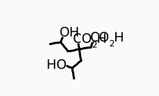 CC(O)CC(CC(=O)O)(CC(C)O)C(=O)O